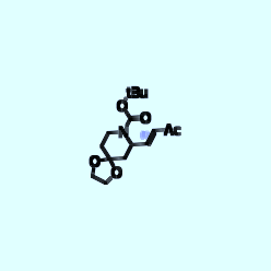 CC(=O)/C=C/C1CC2(CCN1C(=O)OC(C)(C)C)OCCO2